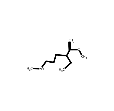 C=C(OC)C(CC)CCCNC